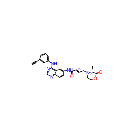 C#Cc1cccc(Nc2ncnc3ccc(NC(=O)/C=C/CN4CCOC(=O)[C@@H]4C)cc23)c1